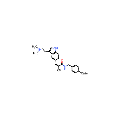 COc1ccc(CNC(=O)/C(C#N)=C\c2ccc3[nH]cc(CCN(C)C)c3c2)cc1